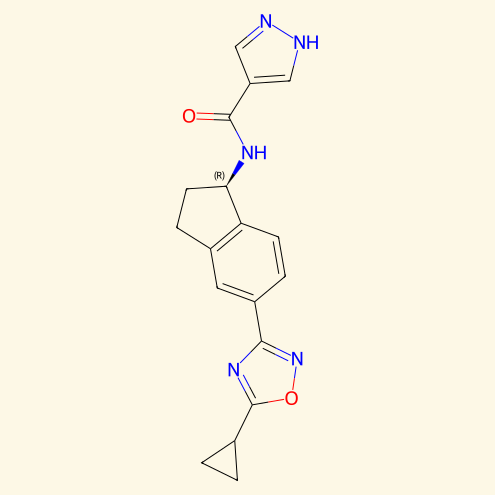 O=C(N[C@@H]1CCc2cc(-c3noc(C4CC4)n3)ccc21)c1cn[nH]c1